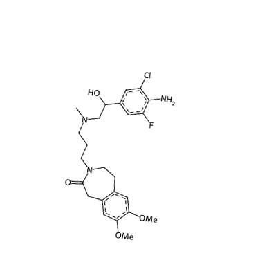 COc1cc2c(cc1OC)CC(=O)N(CCCN(C)CC(O)c1cc(F)c(N)c(Cl)c1)CC2